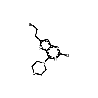 Clc1nc(N2CCOCC2)c2sc(CCBr)cc2n1